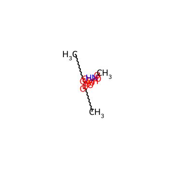 CCCCCCCCCCCCCCCC(=O)O[C@H](COC(=O)CCCCCCCCCCCCCC)COP(=O)(O)OCCNC(=O)OCC